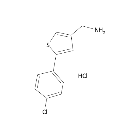 Cl.NCc1csc(-c2ccc(Cl)cc2)c1